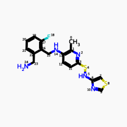 Cc1nc(SNc2cscn2)ccc1NCc1c(F)cccc1CN